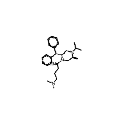 C=C1CN(C(=N)CCCN(C)C)[C@@H](C(c2ccccc2)c2ccccc2)CN1C(C)C